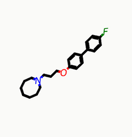 Fc1ccc(-c2ccc(OCCCN3CCCCCCC3)cc2)cc1